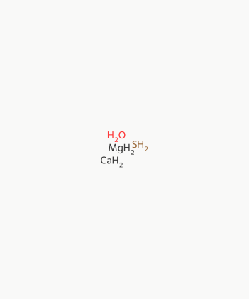 O.S.[CaH2].[MgH2]